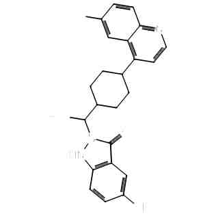 CC(C1CCC(c2ccnc3ccc(F)cc23)CC1)n1[nH]c2ccc(Cl)cc2c1=O